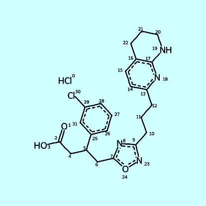 Cl.O=C(O)CC(Cc1nc(CCCc2ccc3c(n2)NCCC3)no1)c1cccc(Cl)c1